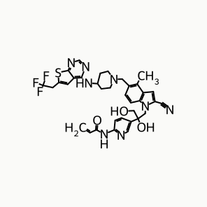 C=CC(=O)Nc1ccc(C(O)(CO)Cn2c(C#N)cc3c(C)c(CN4CCC(Nc5ncnc6sc(CC(F)(F)F)cc56)CC4)ccc32)cn1